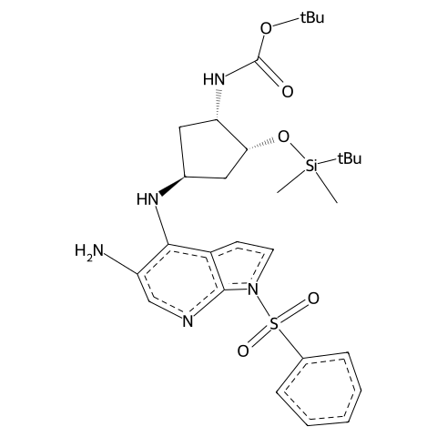 CC(C)(C)OC(=O)N[C@H]1C[C@H](Nc2c(N)cnc3c2ccn3S(=O)(=O)c2ccccc2)C[C@H]1O[Si](C)(C)C(C)(C)C